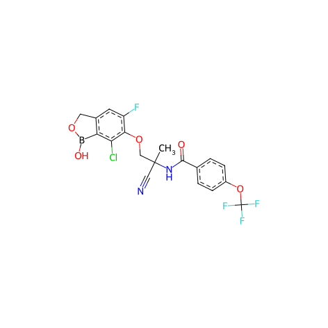 CC(C#N)(COc1c(F)cc2c(c1Cl)B(O)OC2)NC(=O)c1ccc(OC(F)(F)F)cc1